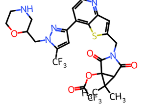 CC1(C)C2C(=O)N(Cc3cc4nccc(-c5cc(C(F)(F)F)n(CC6CNCCO6)n5)c4s3)C(=O)C21OC(=O)C(F)(F)F